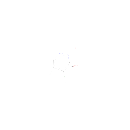 O=c1c(Cl)c(Cl)cnn1O